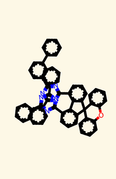 c1ccc(-c2cccc(-c3nc(-c4ccccc4)nc(-c4cccc5c4-c4c(-c6nc(-c7ccccc7)nc(-c7ccccc7)n6)cccc4C54c5ccccc5Oc5ccccc54)n3)c2)cc1